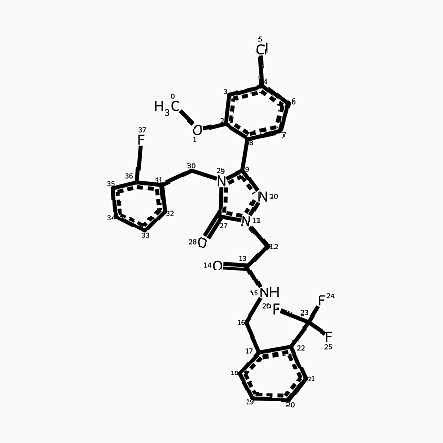 COc1cc(Cl)ccc1-c1nn(CC(=O)NCc2ccccc2C(F)(F)F)c(=O)n1Cc1ccccc1F